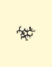 C/C=C(\C(=C/C(C)C(C)C)C(C)C)C(C)(C)F